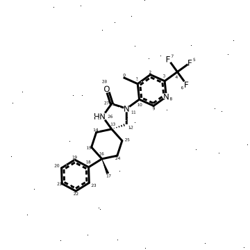 Cc1cc(C(F)(F)F)ncc1N1C[C@]2(CC[C@@](C)(c3ccccc3)CC2)NC1=O